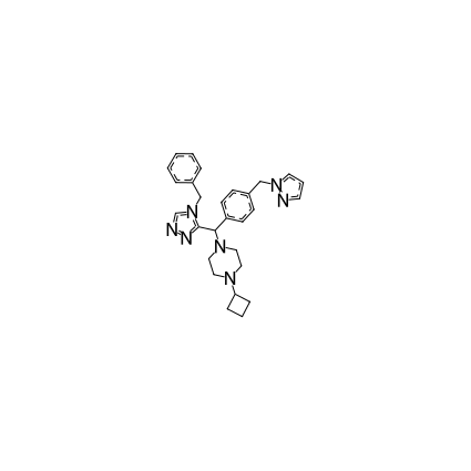 c1ccc(Cn2cnnc2C(c2ccc(Cn3cccn3)cc2)N2CCN(C3CCC3)CC2)cc1